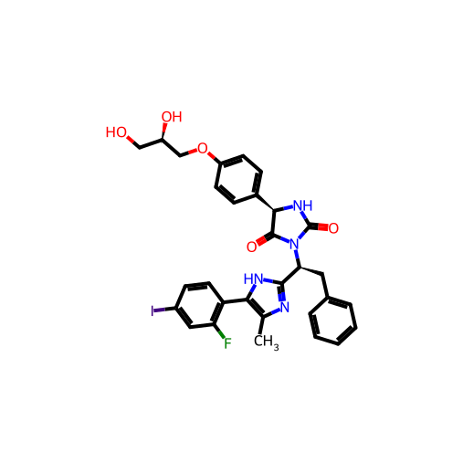 Cc1nc([C@H](Cc2ccccc2)N2C(=O)N[C@H](c3ccc(OC[C@H](O)CO)cc3)C2=O)[nH]c1-c1ccc(I)cc1F